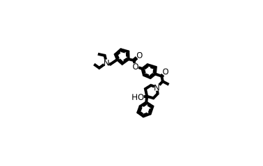 CCN(CC)Cc1cccc(C(=O)Oc2ccc(C(=O)C(C)N3CCC(O)(c4ccccc4)CC3)cc2)c1